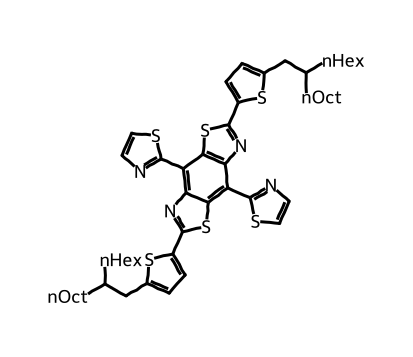 CCCCCCCCC(CCCCCC)Cc1ccc(-c2nc3c(-c4nccs4)c4sc(-c5ccc(CC(CCCCCC)CCCCCCCC)s5)nc4c(-c4nccs4)c3s2)s1